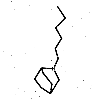 CCCCCCN1CC2CCC1CC2